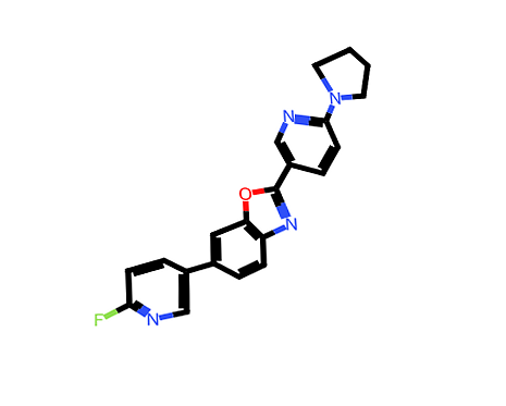 Fc1ccc(-c2ccc3nc(-c4ccc(N5CCCC5)nc4)oc3c2)cn1